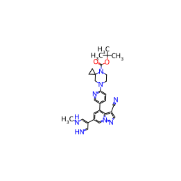 CN/C=C(\C=N)c1cc(-c2ccc(N3CCN(C(=O)OC(C)(C)C)C4(CC4)C3)nc2)c2c(C#N)cnn2c1